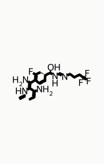 C=CNC(=C(\N)C1=C(F)C[C@H]([C@@H](O)N/C=N/CCCC(F)(F)F)C=C1)/C(N)=C\C